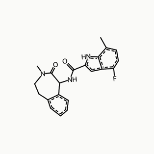 Cc1ccc(F)c2cc(C(=O)NC3C(=O)N(C)CCc4ccccc43)[nH]c12